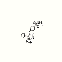 Cc1nc2ncnn2c(N2CCCC2)c1Cc1ccc(S(N)(=O)=O)cc1